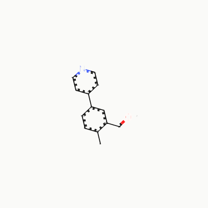 Cc1ccc(-c2ccncc2)cc1C=O